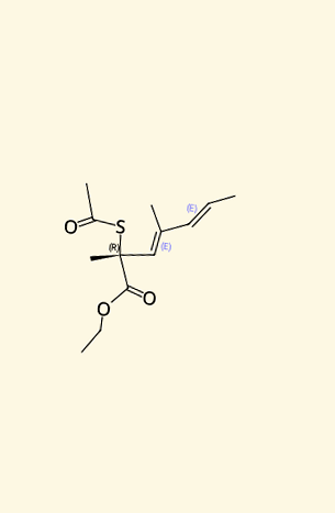 C/C=C/C(C)=C/[C@@](C)(SC(C)=O)C(=O)OCC